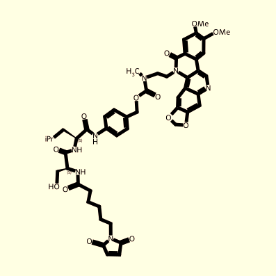 COc1cc2c(=O)n(CCN(C)C(=O)OCc3ccc(NC(=O)[C@H](CC(C)C)NC(=O)[C@H](CO)NC(=O)CCCCCN4C(=O)C=CC4=O)cc3)c3c4cc5c(cc4ncc3c2cc1OC)OCO5